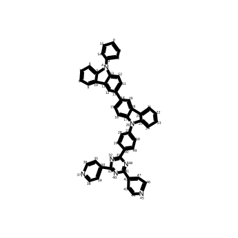 c1ccc(-n2c3ccccc3c3cc(-c4ccc5c(c4)c4ccccc4n5-c4ccc(-c5nc(-c6ccncc6)nc(-c6ccncc6)n5)cc4)ccc32)cc1